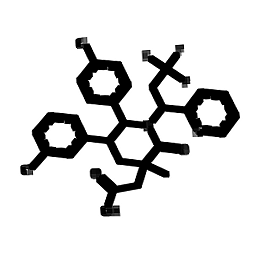 CC1(CC(=O)O)CC(c2cccc(Cl)c2)C(c2ccc(Cl)cc2)N(C(CC(F)(F)F)c2ccccn2)C1=O